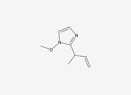 C=CC(C)c1nccn1OC